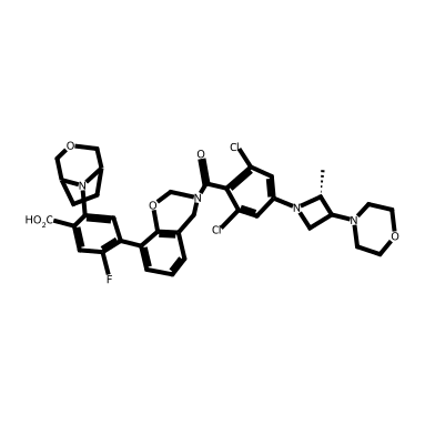 C[C@@H]1C(N2CCOCC2)CN1c1cc(Cl)c(C(=O)N2COc3c(cccc3-c3cc(N4C5CCC4COC5)c(C(=O)O)cc3F)C2)c(Cl)c1